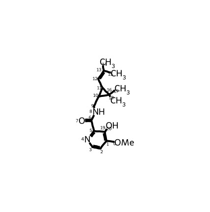 COc1ccnc(C(=O)NCC2C(C=C(C)C)C2(C)C)c1O